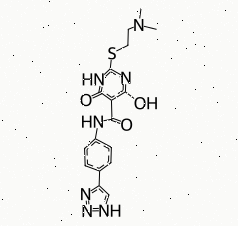 CN(C)CCSc1nc(O)c(C(=O)Nc2ccc(-c3c[nH]nn3)cc2)c(=O)[nH]1